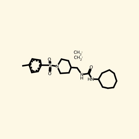 Cc1ccc(S(=O)(=O)N2CCC(CNC(=O)N[C]3CCCCCCC3)CC2)cc1.[CH2].[CH2]